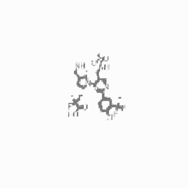 CS(=O)(=O)NCc1cnc(-c2ccc(Cl)c(C(F)(F)F)c2)nc1N1CCC(CN)C1.O=C(O)C(F)(F)F